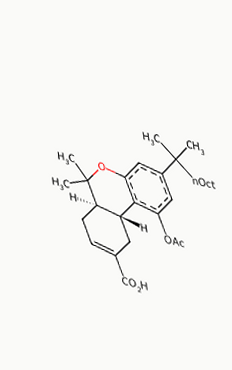 CCCCCCCCC(C)(C)c1cc(OC(C)=O)c2c(c1)OC(C)(C)[C@@H]1CC=C(C(=O)O)C[C@@H]21